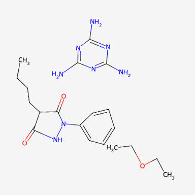 CCCCC1C(=O)NN(c2ccccc2)C1=O.CCOCC.Nc1nc(N)nc(N)n1